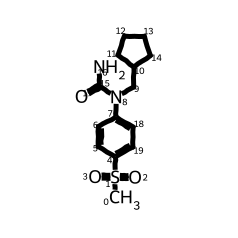 CS(=O)(=O)c1ccc(N(CC2CCCC2)C(N)=O)cc1